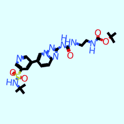 CC(C)(C)NS(=O)(=O)c1cncc(-c2ccc3nc(NC(=O)NCCNC(=O)OC(C)(C)C)nn3c2)c1